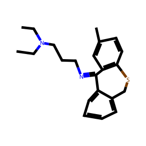 CCN(CC)CCCN=C1c2ccccc2CSc2ccc(C)cc21